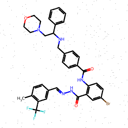 Cc1ccc(/C=N/NC(=O)c2cc(Br)ccc2NC(=O)c2ccc(CNC(CN3CCOCC3)c3ccccc3)cc2)cc1C(F)(F)F